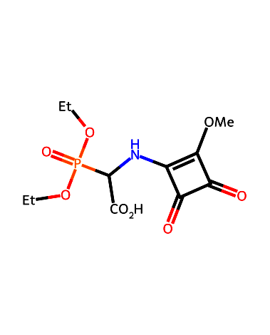 CCOP(=O)(OCC)C(Nc1c(OC)c(=O)c1=O)C(=O)O